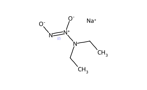 CCN(CC)/[N+]([O-])=N/[O-].[Na+]